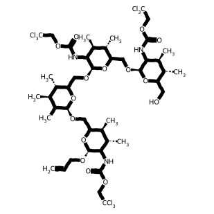 C=CCO[C@@H]1OC(CO[C@@H]2OC(CO[C@@H]3OC(CO[C@@H]4OC(CO)[C@@H](C)[C@H](C)C4NC(=O)OCC(Cl)(Cl)Cl)[C@@H](C)[C@H](C)C3NC(=O)OCC(Cl)(Cl)Cl)[C@@H](C)[C@H](C)C2C)[C@@H](C)[C@H](C)C1NC(=O)OCC(Cl)(Cl)Cl